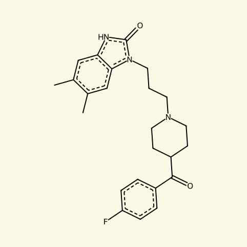 Cc1cc2[nH]c(=O)n(CCCN3CCC(C(=O)c4ccc(F)cc4)CC3)c2cc1C